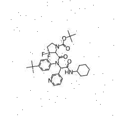 CC(C)(C)OC(=O)N1CCC(F)(F)C1C(=O)N(c1ccc(C(C)(C)C)cc1)C(C(=O)NC1CCCCC1)c1cccnc1